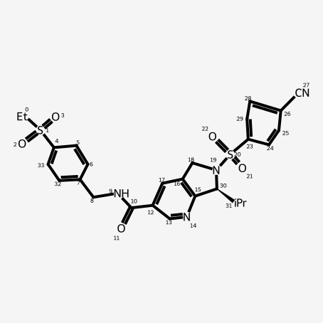 CCS(=O)(=O)c1ccc(CNC(=O)c2cnc3c(c2)CN(S(=O)(=O)c2ccc(C#N)cc2)[C@H]3C(C)C)cc1